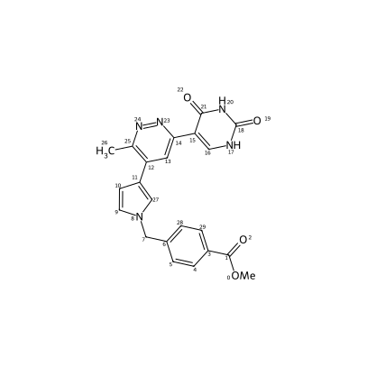 COC(=O)c1ccc(Cn2ccc(-c3cc(-c4c[nH]c(=O)[nH]c4=O)nnc3C)c2)cc1